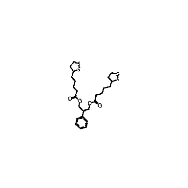 O=C(CCCCC1CCSS1)OCC(COC(=O)CCCCC1CCSS1)c1ccccc1